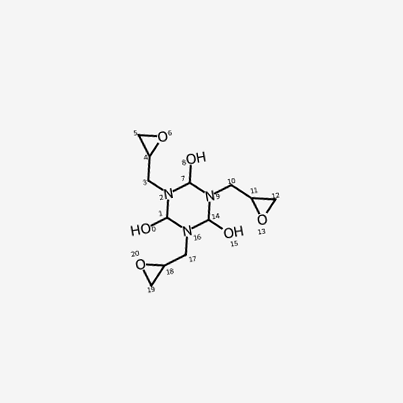 OC1N(CC2CO2)C(O)N(CC2CO2)C(O)N1CC1CO1